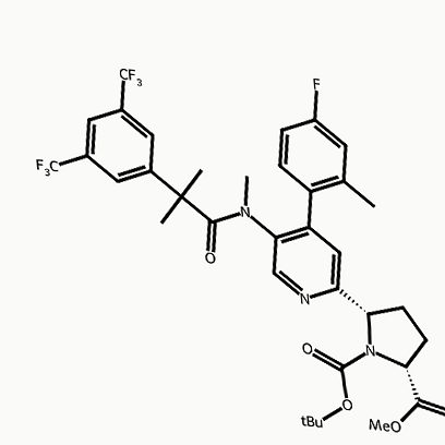 COC(=O)[C@H]1CC[C@@H](c2cc(-c3ccc(F)cc3C)c(N(C)C(=O)C(C)(C)c3cc(C(F)(F)F)cc(C(F)(F)F)c3)cn2)N1C(=O)OC(C)(C)C